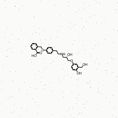 O=C(O)c1ccccc1COc1ccc(CCNC[C@H](O)COc2ccc(O)c(CO)c2)cc1